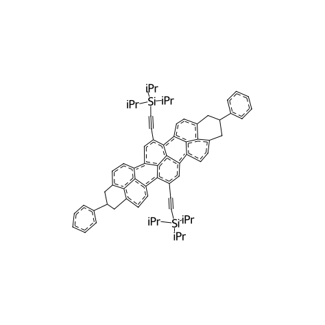 CC(C)[Si](C#Cc1cc2c3ccc4c5c(ccc(c6c(C#C[Si](C(C)C)(C(C)C)C(C)C)cc7c8ccc9c%10c(ccc(c1c7c26)c%108)CC(c1ccccc1)C9)c53)CC(c1ccccc1)C4)(C(C)C)C(C)C